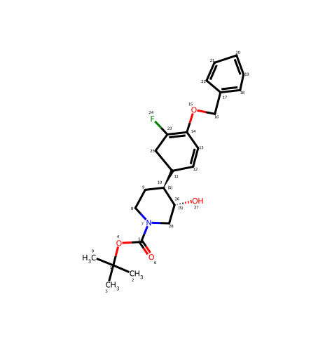 CC(C)(C)OC(=O)N1CC[C@@H](C2C=CC(OCc3ccccc3)=C(F)C2)[C@H](O)C1